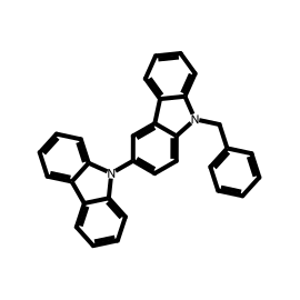 c1ccc(Cn2c3ccccc3c3cc(-n4c5ccccc5c5ccccc54)ccc32)cc1